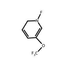 FN1C=C(OC(F)(F)F)C=CC1